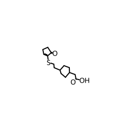 O=C(O)CC1CCC(CCSC2=CCCC2=O)CC1